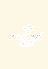 COc1nc(C2CCC(O)CC2)c(O[C@H]2CCN3C(=O)OC[C@@H]3C2)cc1C(=O)NCc1ccc(Cl)cc1